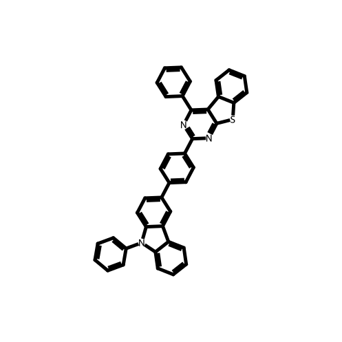 c1ccc(-c2nc(-c3ccc(-c4ccc5c(c4)c4ccccc4n5-c4ccccc4)cc3)nc3sc4ccccc4c23)cc1